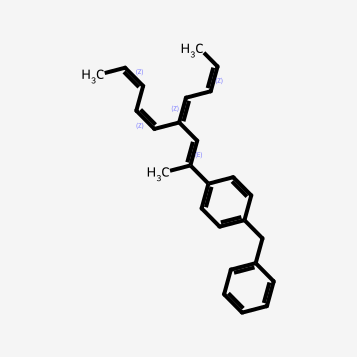 C/C=C\C=C/C(=C/C=C\C)/C=C(\C)c1ccc(Cc2ccccc2)cc1